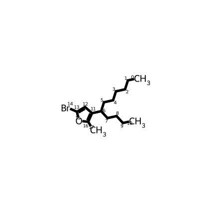 CCCCCCC(CCCC)c1cc(Br)oc1C